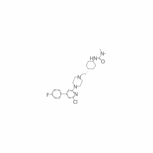 CN(C)C(=O)N[C@H]1CC[C@H](CCN2CCN(c3cc(-c4ccc(F)cc4)cc(Cl)n3)CC2)CC1